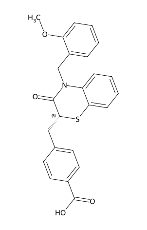 COc1ccccc1CN1C(=O)[C@@H](Cc2ccc(C(=O)O)cc2)Sc2ccccc21